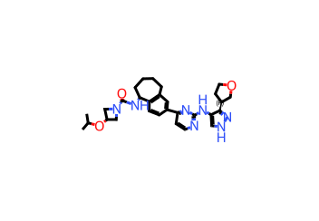 CC(C)OC1CN(C(=O)NC2CCCCc3cc(-c4ccnc(Nc5c[nH]nc5[C@H]5CCOC5)n4)ccc32)C1